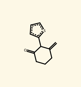 C=C1CCCC(=O)C1c1cccs1